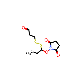 CCC(ON1C(=O)CCC1=O)SSCCC=O